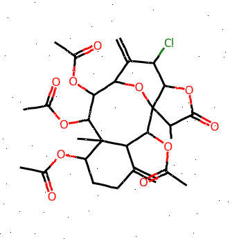 C=C1C(Cl)C2OC(=O)C(C)C23OC1C(OC(C)=O)C(OC(C)=O)C1(C)C(OC(C)=O)CCC(=C)C1C3OC(C)=O